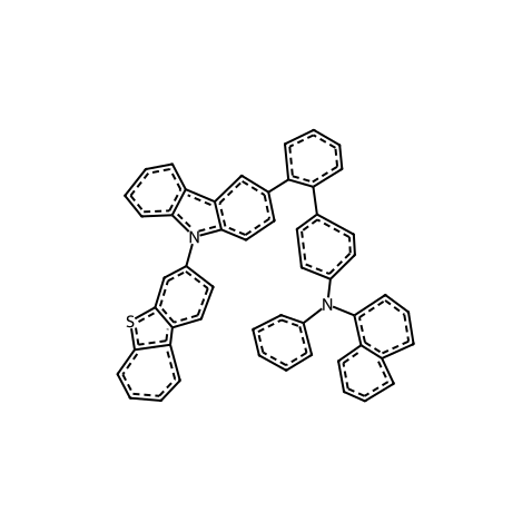 c1ccc(N(c2ccc(-c3ccccc3-c3ccc4c(c3)c3ccccc3n4-c3ccc4c(c3)sc3ccccc34)cc2)c2cccc3ccccc23)cc1